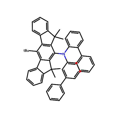 CC(C)(C)c1c2c(c(N(c3cccc(-c4ccccc4)c3)c3ccccc3-c3ccccc3)c3c1-c1ccccc1C3(C)C)C(C)(C)c1ccccc1-2